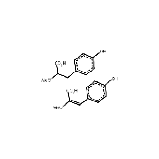 COC(=Cc1ccc(O)cc1)C(=O)O.COC(Cc1ccc(O)cc1)C(=O)O